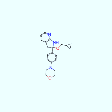 c1cnc2c(c1)CC(OCC1CC1)(c1ccc(N3CCOCC3)cc1)N2